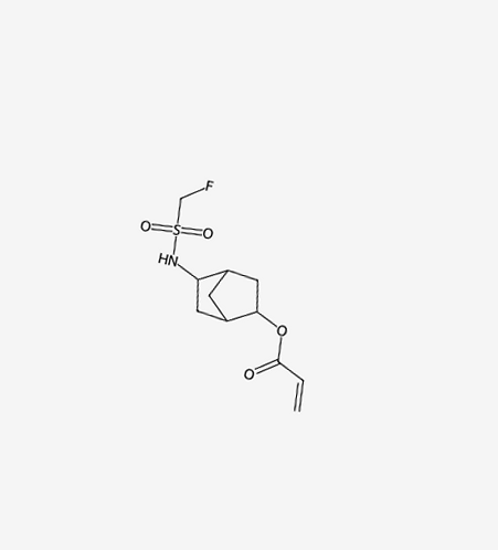 C=CC(=O)OC1CC2CC1CC2NS(=O)(=O)CF